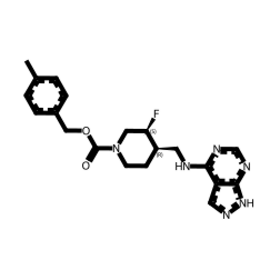 Cc1ccc(COC(=O)N2CC[C@H](CNc3ncnc4[nH]ncc34)[C@H](F)C2)cc1